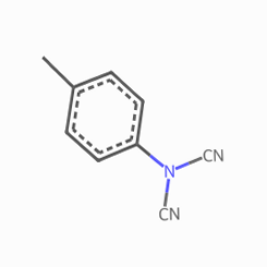 Cc1ccc(N(C#N)C#N)cc1